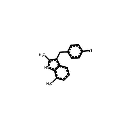 Cc1[nH]c2c(C)cccc2c1Cc1ccc(Cl)cc1